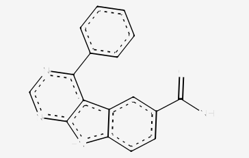 NC(=O)c1ccc2[nH]c3ncnc(-c4ccccc4)c3c2c1